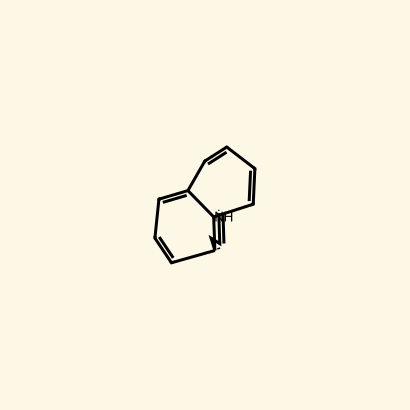 [C]1=CC=C2C=CC=C3C=CC=CC23N1